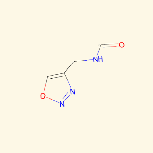 O=[C]NCc1conn1